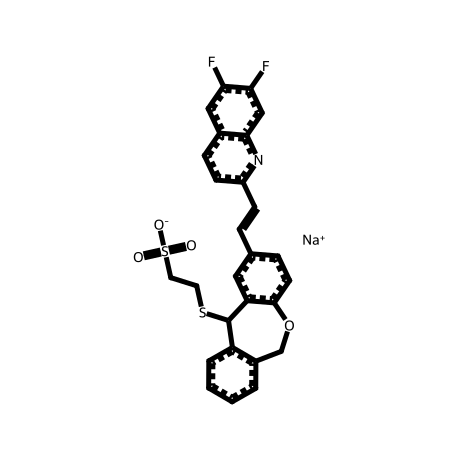 O=S(=O)([O-])CCSC1c2ccccc2COc2ccc(C=Cc3ccc4cc(F)c(F)cc4n3)cc21.[Na+]